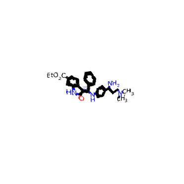 CCOC(=O)c1ccc2c(c1)NC(=O)/C2=C(\Nc1ccc(C(N)CCN(C)C)cc1)c1ccccc1